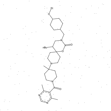 CCCCC1CN(CC2CCC(OCC)CC2)C(=O)OC12CCN(C1(C)CCN(C(=O)c3c(C)ncnc3C)CC1)CC2